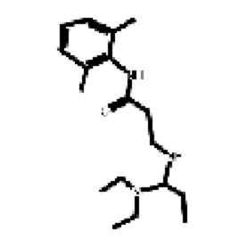 CCC(NCCC(=O)Nc1c(C)cccc1C)N(CC)CC